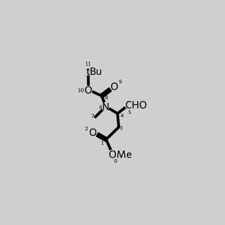 COC(=O)CC(C=O)N(C)C(=O)OC(C)(C)C